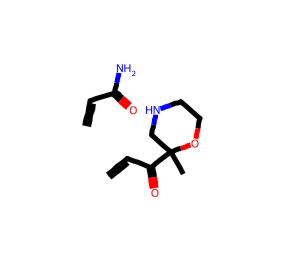 C=CC(=O)C1(C)CNCCO1.C=CC(N)=O